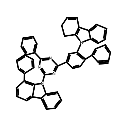 c1cccc(-c2ccc(-c3nc(-c4ccccc4)nc(-n4c5ccccc5c5cccc(-c6ccccc6)c54)n3)cc2-n2c3c(c4ccccc42)C=CCC3)c#1